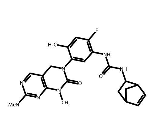 CNc1ncc2c(n1)N(C)C(=O)N(c1cc(NC(=O)NC3CC4C=CC3C4)c(F)cc1C)C2